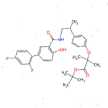 CC(CNC(=O)c1cc(-c2ccc(F)cc2F)ccc1O)c1ccc(OC(C)(C)C(=O)OC(C)(C)C)cc1